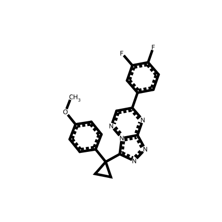 COc1ccc(C2(c3nnc4nc(-c5ccc(F)c(F)c5)cnn34)CC2)cc1